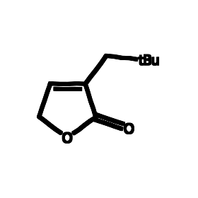 CC(C)(C)CC1=CCOC1=O